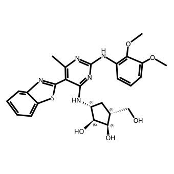 COc1cccc(Nc2nc(C)c(-c3nc4ccccc4s3)c(N[C@@H]3C[C@H](CO)[C@@H](O)[C@H]3O)n2)c1OC